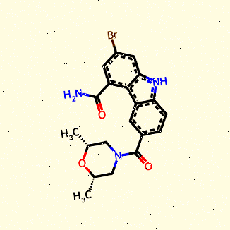 C[C@@H]1CN(C(=O)c2ccc3[nH]c4cc(Br)cc(C(N)=O)c4c3c2)C[C@H](C)O1